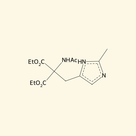 CCOC(=O)C(Cc1cnc(C)[nH]1)(NC(C)=O)C(=O)OCC